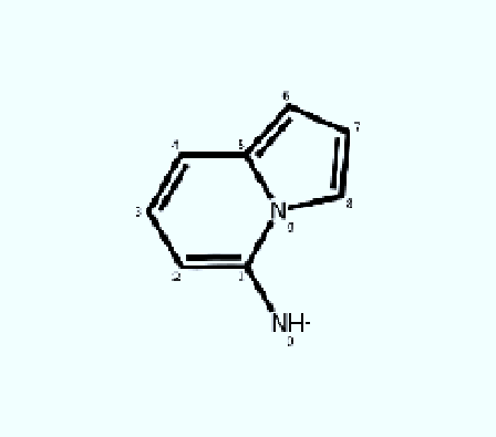 [NH]c1cccc2cccn12